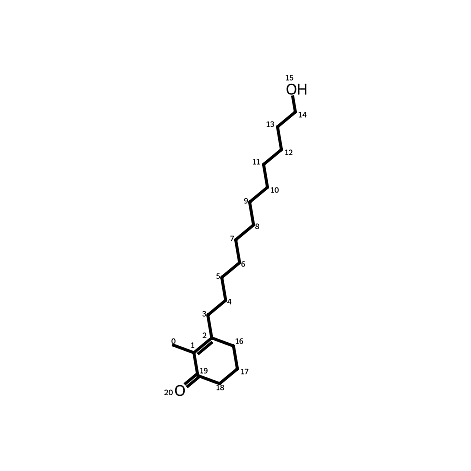 CC1=C(CCCCCCCCCCCCO)CCCC1=O